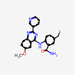 COc1ccc2nc(-c3cccnc3)nc(Nc3ccc(CI)cc3C(N)=O)c2c1